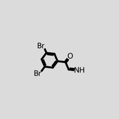 N=CC(=O)c1cc(Br)cc(Br)c1